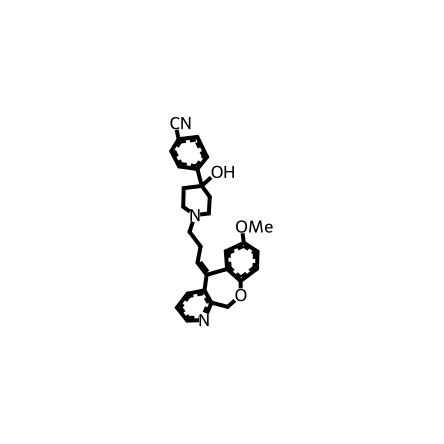 COc1ccc2c(c1)C(=CCCN1CCC(O)(c3ccc(C#N)cc3)CC1)c1cccnc1CO2